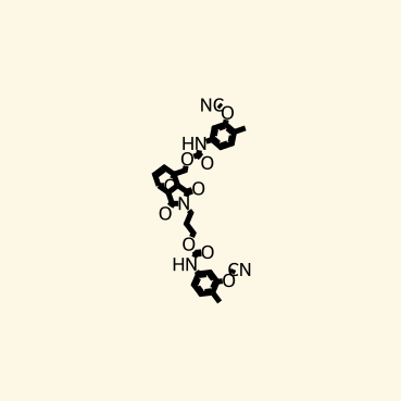 Cc1ccc(NC(=O)OCCCN2C(=O)C3C4C=CC(COC(=O)Nc5ccc(C)c(OC#N)c5)(O4)C3C2=O)cc1OC#N